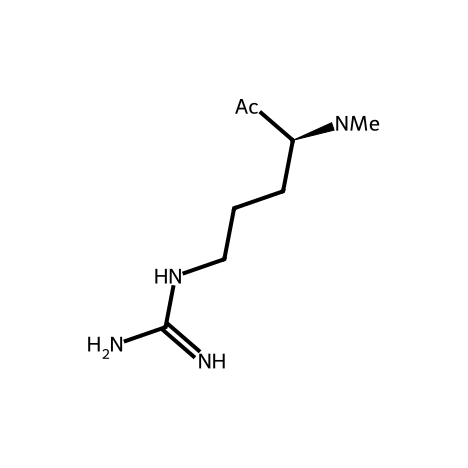 CN[C@@H](CCCNC(=N)N)C(C)=O